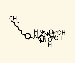 CCCCCCCCc1ccc(CNc2ncnc3c2ncn3[C@@H]2O[C@H](CO)[C@@H](O)[C@H]2O)cc1